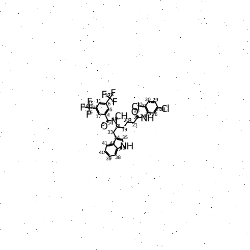 CN(C(=O)c1cc(C(F)(F)F)cc(C(F)(F)F)c1)C(CCCC(=O)Nc1cc(Cl)ccc1Cl)Cc1c[nH]c2ccccc12